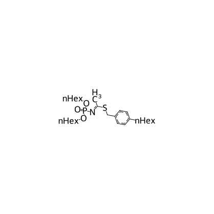 CCCCCCOP(=O)(N=C(C)SCc1ccc(CCCCCC)cc1)OCCCCCC